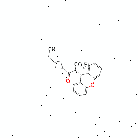 CCOC(=O)C(C(=O)C1CC(CC#N)C1)C1c2ccccc2Oc2ccccc21